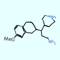 COc1ccc2c(c1)CC(C(CCN)C1CCNCC1)CC2